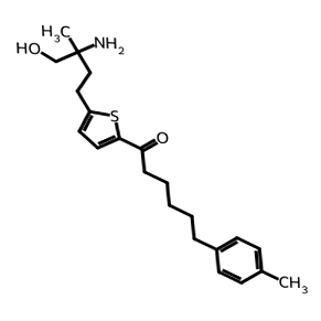 Cc1ccc(CCCCCC(=O)c2ccc(CCC(C)(N)CO)s2)cc1